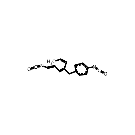 C\C=C/C(=C\C=C\N=C=O)Cc1ccc(N=C=O)cc1